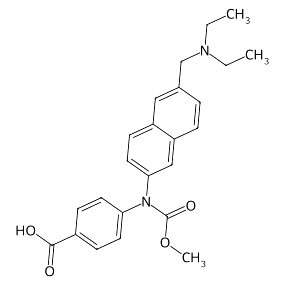 CCN(CC)Cc1ccc2cc(N(C(=O)OC)c3ccc(C(=O)O)cc3)ccc2c1